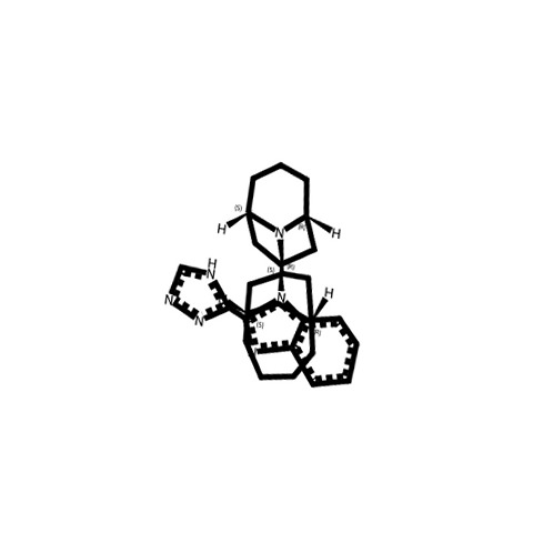 c1ccc2c(c1)nc(-c1nnc[nH]1)n2[C@@H]1C[C@H]2CCC[C@@H](C1)N2[C@H]1C[C@@H]2CCCC[C@@H](C2)C1